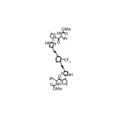 COC(=O)NC(C(=O)N1C[C@@H](C)C[C@H]1c1nc(C#Cc2ccc(C#Cc3c[nH]c([C@@H]4C[C@H](C)CN4C(=O)C(NC(=O)OC)C(C)C)n3)c(C(F)(F)F)c2)c[nH]1)C(C)C